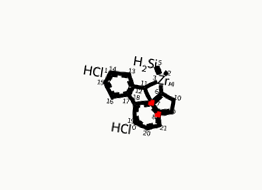 Cl.Cl.[CH3][Zr]([CH3])(=[SiH2])([C]1=CC=CC1)[CH]1c2ccccc2-c2ccccc21